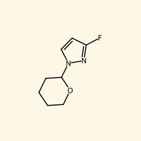 Fc1ccn(C2CCCCO2)n1